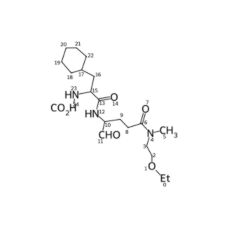 CCOCCN(C)C(=O)CCC(C=O)NC(=O)C(CC1CCCCC1)NC(=O)O